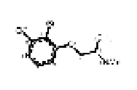 CN[C@@H](C)COc1ccnc(Cl)c1Br